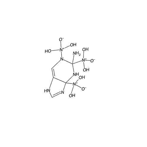 NC1([N+]([O-])(O)O)NC2([N+]([O-])(O)O)N=CNC2=CN1[N+]([O-])(O)O